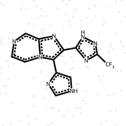 FC(F)(F)c1n[nH]c(-c2nc3cnccn3c2-c2c[nH]cn2)n1